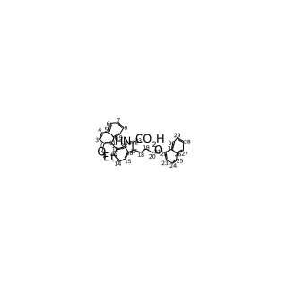 CCOc1ccc2ccccc2c1-c1cccc2c(CCCOc3cccc4ccccc34)c(C(=O)O)[nH]c12